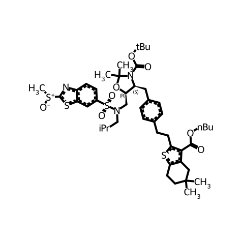 CCCCOC(=O)c1c(CCc2ccc(C[C@H]3[C@@H](CN(CC(C)C)S(=O)(=O)c4ccc5nc([S+](C)[O-])sc5c4)OC(C)(C)N3C(=O)OC(C)(C)C)cc2)sc2c1CC(C)(C)CC2